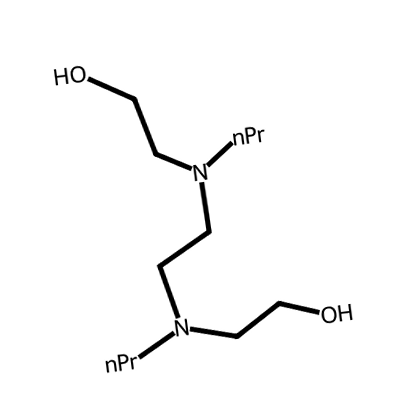 CCCN(CCO)CCN(CCC)CCO